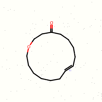 O=C1CCCC/C=C/CCCCCCOCC1